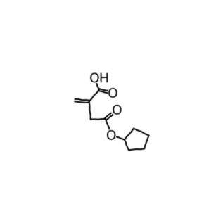 C=C(CC(=O)OC1CCCC1)C(=O)O